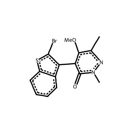 COc1c(C)nn(C)c(=O)c1-c1c(Br)sc2ccccc12